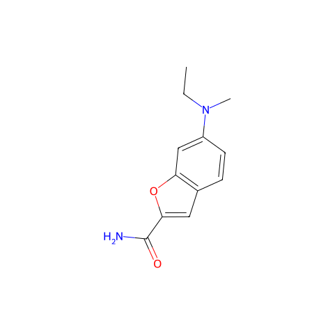 CCN(C)c1ccc2cc(C(N)=O)oc2c1